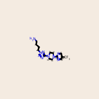 NCCCCn1nnc(N2CCN(c3ncc(C(F)(F)F)cn3)CC2)n1